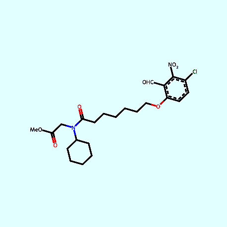 COC(=O)CN(C(=O)CCCCCCOc1ccc(Cl)c([N+](=O)[O-])c1C=O)C1CCCCC1